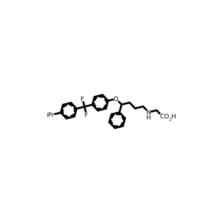 CC(C)c1ccc(C(F)(F)c2ccc(OC(CCCNCC(=O)O)c3ccccc3)cc2)cc1